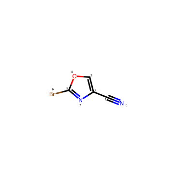 N#Cc1coc(Br)n1